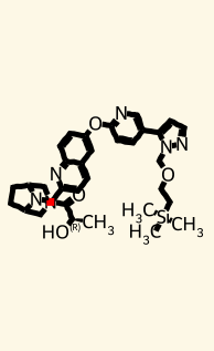 C[C@@H](O)C(=O)N1CC2CCC(C1)N2Cc1ccc2cc(Oc3ccc(-c4ccnn4COCC[Si](C)(C)C)cn3)ccc2n1